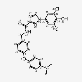 CN(C)c1ccc(Oc2ccc(CNC(=O)c3ncn(-c4cc(Cl)c(O)c(Cl)c4)n3)cc2)cc1